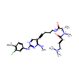 CCCNc1nc(Nc2ccc(OC)c(F)c2)ncc1C#CCCCNC(=O)[C@H](C)N(C)C(=O)C=CCN(C)C